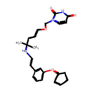 CC(C)(CCCOCn1ccc(=O)[nH]c1=O)NCCc1cccc(OC2CCCC2)c1